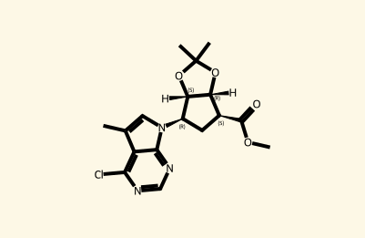 COC(=O)[C@H]1C[C@@H](n2cc(C)c3c(Cl)ncnc32)[C@@H]2OC(C)(C)O[C@@H]21